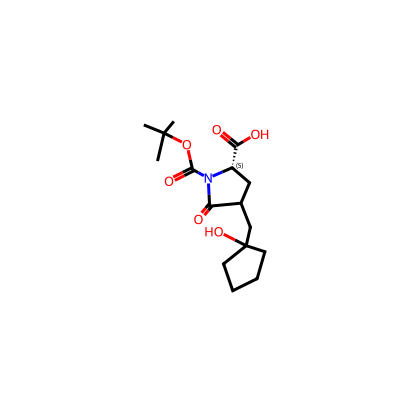 CC(C)(C)OC(=O)N1C(=O)C(CC2(O)CCCC2)C[C@H]1C(=O)O